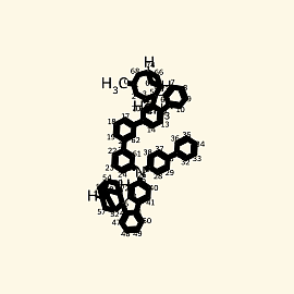 CC1C[C@H](C)[C@@]2(c3ccccc3-c3ccc(-c4cccc(-c5cccc(N(c6ccc(-c7ccccc7)cc6)c6ccc7c(c6)[C@]6(c8ccccc8-7)C7CC8C[C@@H](C7)C[C@@H]6C8)c5)c4)cc32)[C@H]2C[C@H](C1)C2